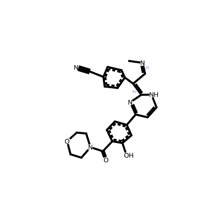 C/N=C\C(=C1\N=C(c2ccc(C(=O)N3CCOCC3)c(O)c2)C=CN1)c1ccc(C#N)cc1